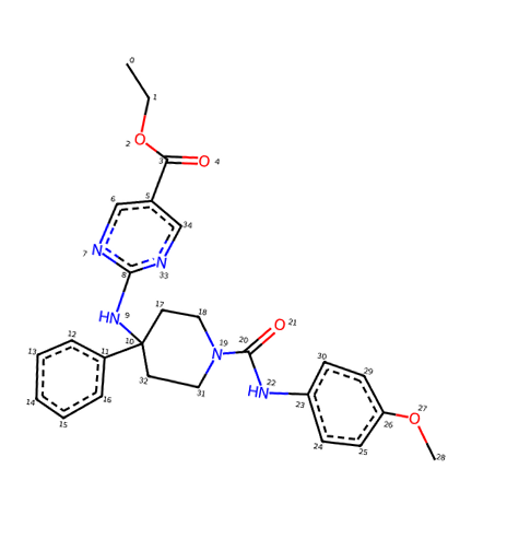 CCOC(=O)c1cnc(NC2(c3ccccc3)CCN(C(=O)Nc3ccc(OC)cc3)CC2)nc1